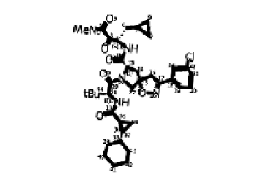 CNC(=O)C(=O)[C@H](CC1CC1)NC(=O)[C@@H]1C[C@]2(CC(c3cccc(Cl)c3)=NO2)CN1C(=O)[C@@H](NC(=O)C1C[C@@H]1C1CCCCC1)C(C)(C)C